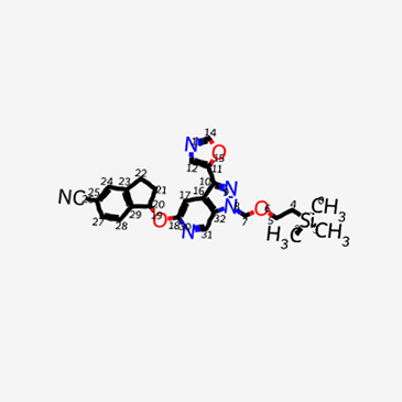 C[Si](C)(C)CCOCn1nc(-c2cnco2)c2cc(OC3CCc4cc(C#N)ccc43)ncc21